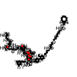 CCc1cc(OCCCCNC(=O)OCCOCCOCCOCCNC(=O)OCC2[C@H]3CCC#CCC[C@@H]23)ccc1-c1ccc(C[C@H](NC(=O)C(CC(=O)O)NC(=O)C(CO)NC(=O)C(NC(=O)C(C)(Cc2ccccc2F)NC(=O)C(NC(=O)CNC(=O)C(Cc2nn[nH]n2)NC(=O)C(C)(C)C(=O)NCCc2cnc[nH]2)[C@@H](C)O)[C@@H](C)O)C(=O)N[C@@H](CCCc2cc(C)cc(C)c2)C(N)=O)cc1